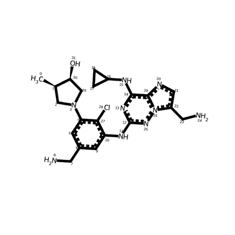 C[C@@H]1CN(c2cc(CN)cc(Nc3nc(NC4CC4)c4ncc(CN)n4n3)c2Cl)C[C@@H]1O